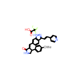 COc1ccc(C2CNC(=O)/C2=C/c2ccc3c(/C=C/c4ccncc4)n[nH]c3c2)cc1.O=C(O)C(F)(F)F